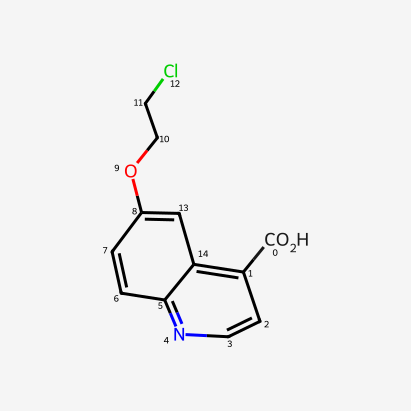 O=C(O)c1ccnc2ccc(OCCCl)cc12